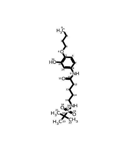 CCCCOc1ccc(NC(=O)CCCCNS(=O)(=O)C(C)(C)C)cc1O